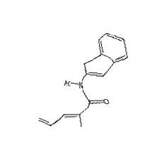 C=CC=C(C)C(=O)N(C(C)=O)C1=Cc2ccccc2C1